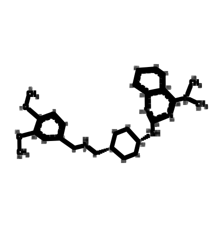 COc1ccc(CNC[C@H]2CC[C@@H](Nc3nc(N(C)C)c4ccccc4n3)CC2)cc1OC